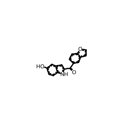 O=C(c1ccc2occc2c1)c1cc2cc(O)ccc2[nH]1